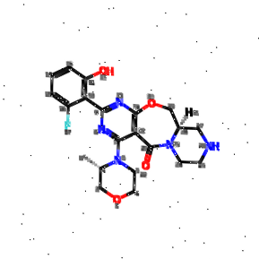 C[C@H]1COCCN1c1nc(-c2c(O)cccc2F)nc2c1C(=O)N1CCNC[C@@H]1CO2